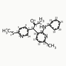 CSc1ccc(C(C(C)=O)c2ccc(C)nc2Nc2ccccc2)cn1